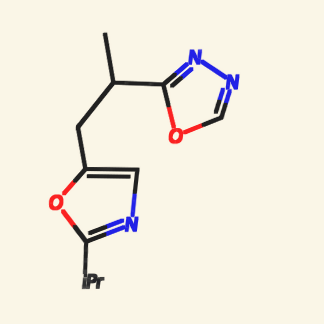 CC(C)c1ncc(CC(C)c2nnco2)o1